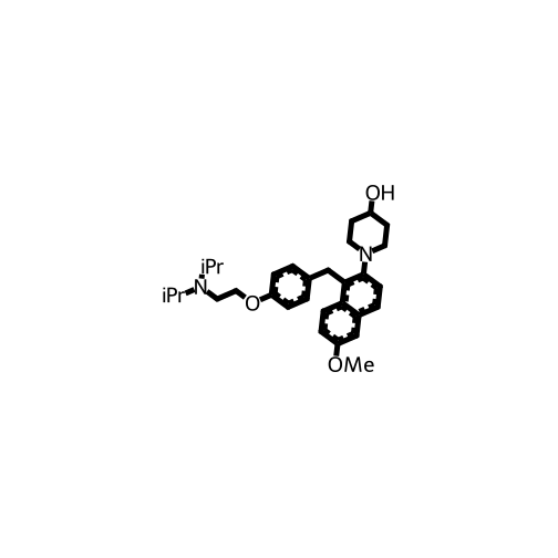 COc1ccc2c(Cc3ccc(OCCN(C(C)C)C(C)C)cc3)c(N3CCC(O)CC3)ccc2c1